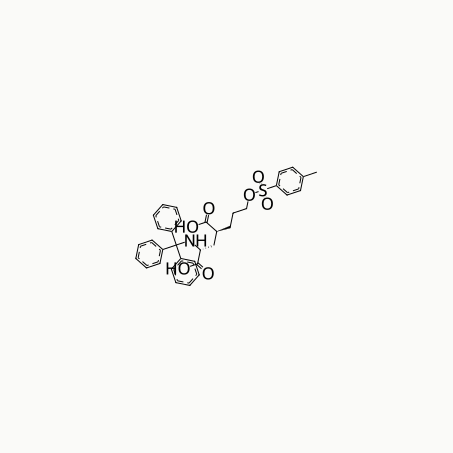 Cc1ccc(S(=O)(=O)OCCC[C@@H](C[C@@H](NC(c2ccccc2)(c2ccccc2)c2ccccc2)C(=O)O)C(=O)O)cc1